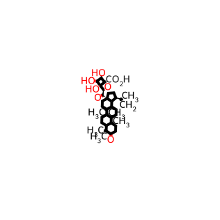 C=C(C)[C@@H]1CC[C@]2(C(=O)[C@@H]3OC4(C(=O)O)[C@@H](O)C(O)C34O)CC[C@]3(C)C(CCC4[C@@]5(C)CCC(=O)C(C)(C)C5CC[C@]43C)C12